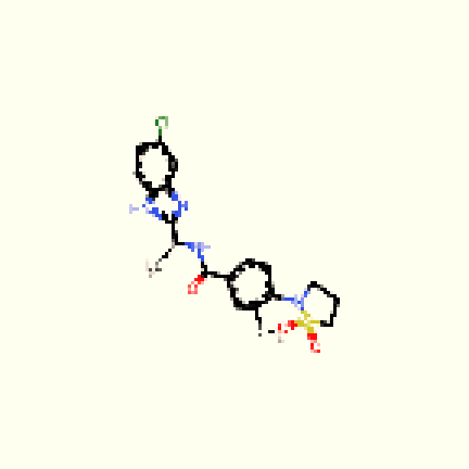 Cc1cc(C(=O)N[C@@H](C)c2nc3cc(Cl)ccc3[nH]2)ccc1N1CCCS1(=O)=O